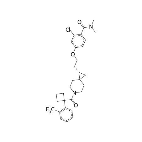 CN(C)C(=O)c1ccc(OCC[C@@H]2CC23CCN(C(=O)C2(c4ccccc4C(F)(F)F)CCC2)CC3)cc1Cl